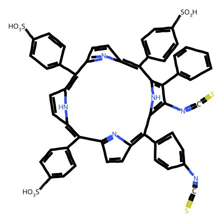 O=S(=O)(O)c1ccc(-c2c3nc(c(-c4ccc(N=C=S)cc4)c4[nH]c(c(-c5ccc(S(=O)(=O)O)cc5)c5nc(c(-c6ccc(S(=O)(=O)O)cc6)c6ccc2[nH]6)C=C5)c(-c2ccccc2)c4N=C=S)C=C3)cc1